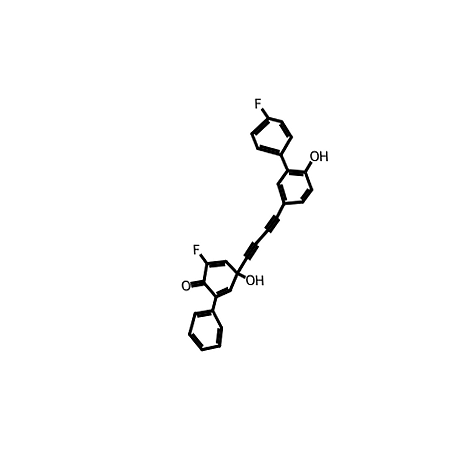 O=C1C(F)=CC(O)(C#CC#Cc2ccc(O)c(-c3ccc(F)cc3)c2)C=C1c1ccccc1